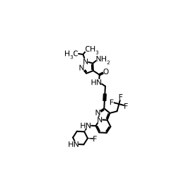 CC(C)n1ncc(C(=O)NCC#Cc2nn3c(N[C@@H]4CCNC[C@@H]4F)cccc3c2CC(F)(F)F)c1N